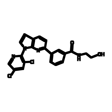 O=C(NCCO)c1cccc(-c2ccc3ccn(-c4ncc(Cl)cc4Cl)c3n2)c1